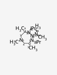 CC(C)N1C(C)CN(C)CC(C)N(C(C)C)N1N(C)C